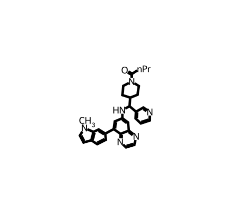 CCCC(=O)N1CCC(C(Nc2cc(-c3ccc4ccn(C)c4c3)c3nccnc3c2)c2cccnc2)CC1